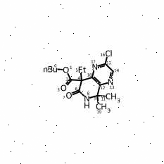 CCCCOC(=O)C1(CC)C(=O)NC(C)(C)c2ncc(Cl)nc21